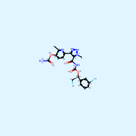 Cc1nc(-c2nnn(C)c2C(=O)NC(=O)O[C@H](CF)c2cccc(F)c2)ccc1OC(N)=O